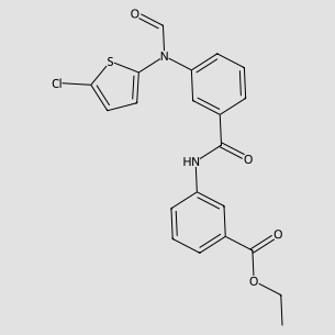 CCOC(=O)c1cccc(NC(=O)c2cccc(N(C=O)c3ccc(Cl)s3)c2)c1